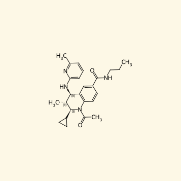 CCCNC(=O)c1ccc2c(c1)[C@H](Nc1cccc(C)n1)[C@@H](C)[C@H](C1CC1)N2C(C)=O